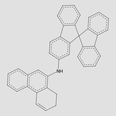 C1=Cc2c(c(Nc3ccc4c(c3)C3(c5ccccc5-c5ccccc53)c3ccccc3-4)cc3ccccc23)CC1